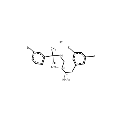 CC(=O)N[C@@H](Cc1cc(F)cc(F)c1)[C@@H](CNC(C)(C)c1cccc(Br)c1)OC(C)=O.Cl